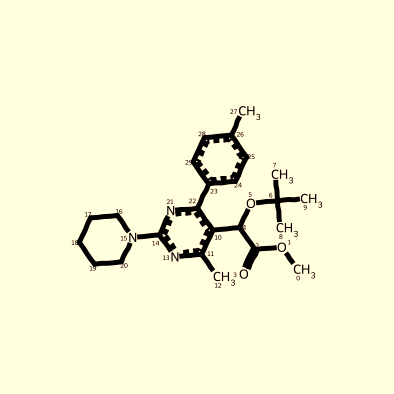 COC(=O)C(OC(C)(C)C)c1c(C)nc(N2CCCCC2)nc1-c1ccc(C)cc1